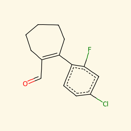 O=CC1=C(c2ccc(Cl)cc2F)CCCCC1